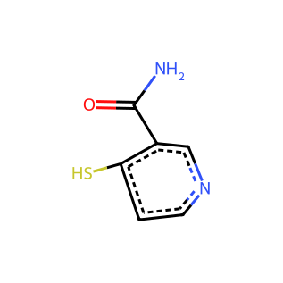 NC(=O)c1cnccc1S